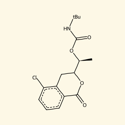 C[C@H](OC(=O)NC(C)(C)C)C1Cc2c(Cl)cccc2C(=O)O1